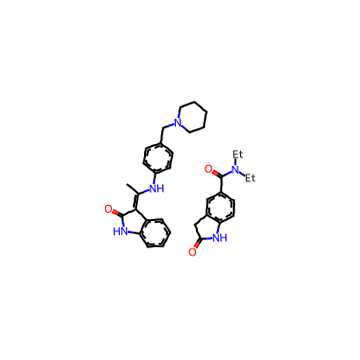 CC(Nc1ccc(CN2CCCCC2)cc1)=C1C(=O)Nc2ccccc21.CCN(CC)C(=O)c1ccc2c(c1)CC(=O)N2